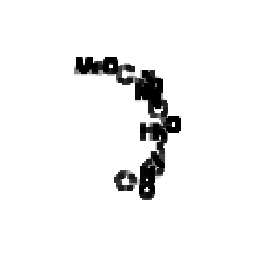 COc1ccc(-c2noc(N3CCC(C(=O)NCCCN4CCN(C(=O)c5ccccc5)CC4)CC3)n2)cc1